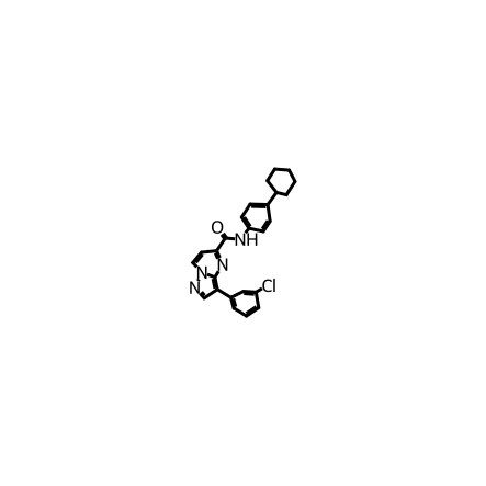 O=C(Nc1ccc(C2CCCCC2)cc1)c1ccn2ncc(-c3cccc(Cl)c3)c2n1